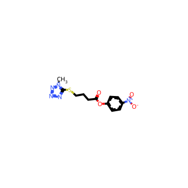 Cn1nnnc1SCCCC(=O)Oc1ccc([N+](=O)[O-])cc1